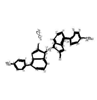 CC1=Cc2c(-c3ccc(C(C)(C)C)cc3)cccc2[CH]1[Hf+2][CH]1C(C)=Cc2c(-c3ccc(C(C)(C)C)cc3)cccc21.[Cl-].[Cl-]